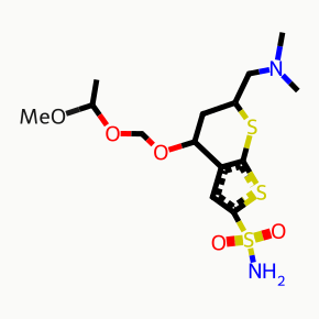 COC(C)OCOC1CC(CN(C)C)Sc2sc(S(N)(=O)=O)cc21